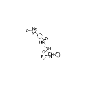 O=C(NCCNC(=O)C1CCC(c2nc(C3CC3)no2)CC1)c1cn(-c2ccccc2)nc1C(F)(F)F